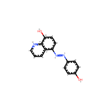 Oc1ccc(/N=N/c2ccc(O)c3ncccc23)cc1